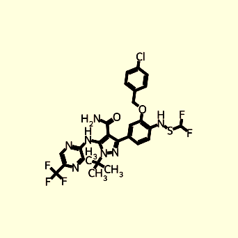 CC(C)(C)n1nc(-c2ccc(NSC(F)F)c(OCc3ccc(Cl)cc3)c2)c(C(N)=O)c1Nc1cnc(C(F)(F)F)cn1